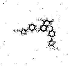 Cc1nc(-c2ccc(Cn3c(=O)cc(C)c4cc(Oc5cccc(-c6noc(C)n6)c5)ccc43)cc2)no1